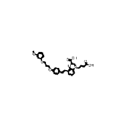 COc1cccc(OCCCOc2ccc(/C=C/c3cccc4c3OC(C(=O)O)CN4CCCC(=O)O)cc2)c1